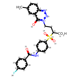 Cc1ccc2nnn(CCC(C(=O)O)S(=O)(=O)c3ccc(NC(=O)c4ccc(F)cc4)cc3)c(=O)c2c1